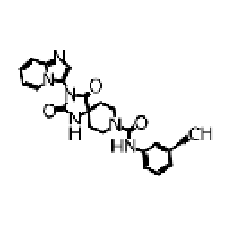 C#Cc1cccc(NC(=O)N2CCC3(CC2)NC(=O)N(c2cnc4ccccn24)C3=O)c1